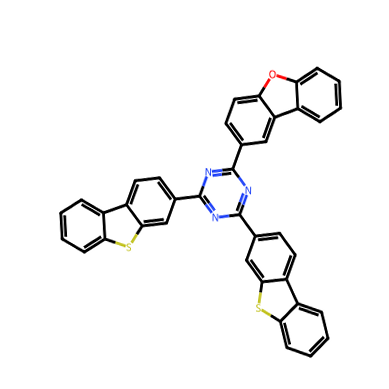 c1ccc2c(c1)oc1ccc(-c3nc(-c4ccc5c(c4)sc4ccccc45)nc(-c4ccc5c(c4)sc4ccccc45)n3)cc12